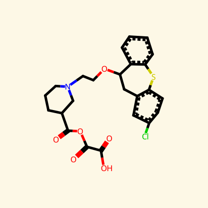 O=C(O)C(=O)OC(=O)C1CCCN(CCOC2Cc3cc(Cl)ccc3Sc3ccccc32)C1